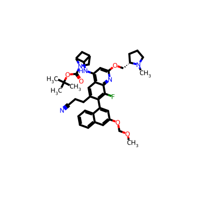 COCOc1cc(-c2c(CCC#N)cc3c(NC4C5CC4N(C(=O)OC(C)(C)C)C5)cc(OC[C@@H]4CCCN4C)nc3c2F)c2ccccc2c1